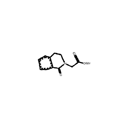 COC(=O)CN1CCc2ccccc2C1=O